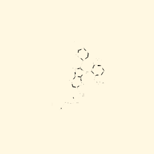 CCOc1cccc(-c2nc3ncc(NS(=O)(=O)CCC(C)(C)O)nc3n2-c2c(OC)cccc2OC)n1